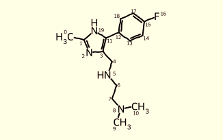 Cc1nc(CNCCN(C)C)c(-c2ccc(F)cc2)[nH]1